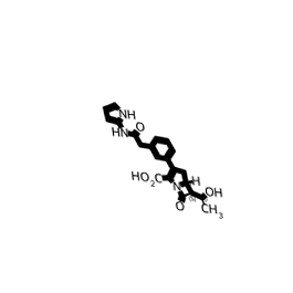 C[C@@H](O)[C@H]1C(=O)N2C(C(=O)O)=C(c3cccc(CC(=O)Nc4ccc[nH]4)c3)C[C@H]12